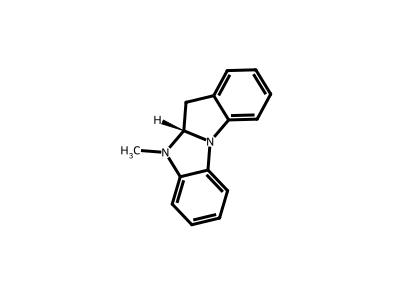 CN1c2ccccc2N2c3ccccc3C[C@@H]12